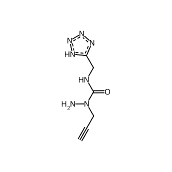 C#CCN(N)C(=O)NCc1nnn[nH]1